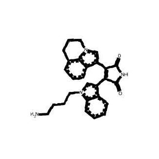 NCCCCn1cc(C2=C(c3cn4c5c(cccc35)CCC4)C(=O)NC2=O)c2ccccc21